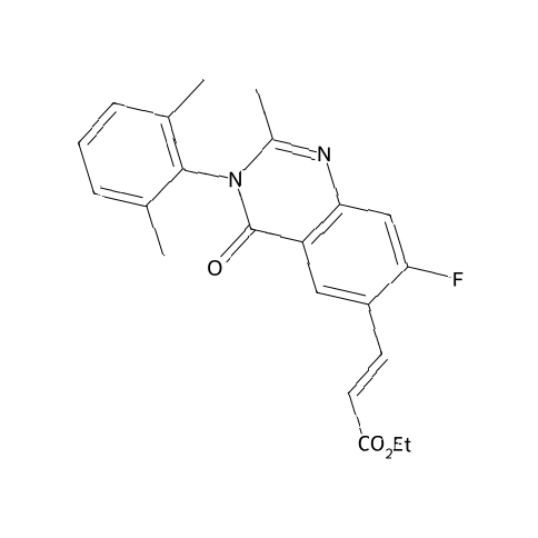 CCOC(=O)C=Cc1cc2c(=O)n(-c3c(C)cccc3C)c(C)nc2cc1F